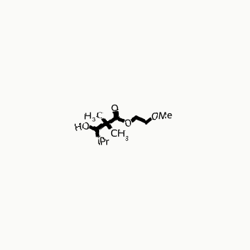 COCCOC(=O)C(C)(C)C(O)C(C)C